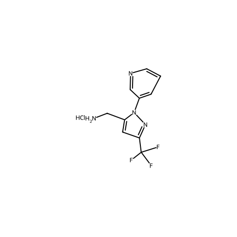 Cl.NCc1cc(C(F)(F)F)nn1-c1cccnc1